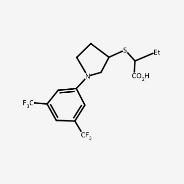 CCC(SC1CCN(c2cc(C(F)(F)F)cc(C(F)(F)F)c2)C1)C(=O)O